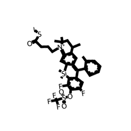 Cc1ccccc1C1=c2cc3c(cc2[Si](C)(C)c2c1cc(F)c(OS(=O)(=O)C(F)(F)F)c2F)=[N+](CCCC(=O)SI)C(C)(C)CC3C